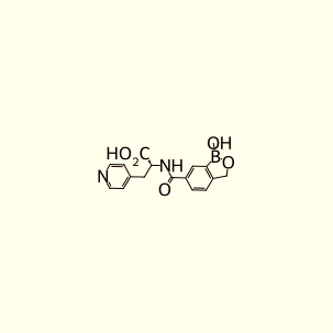 O=C(N[C@@H](Cc1ccncc1)C(=O)O)c1ccc2c(c1)B(O)OC2